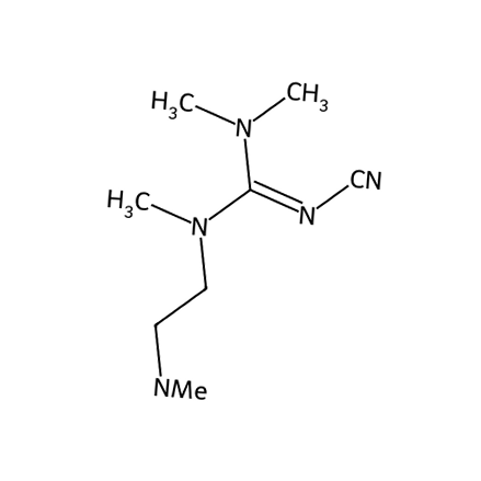 CNCCN(C)/C(=N/C#N)N(C)C